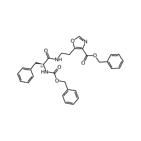 O=C(N[C@@H](Cc1ccccc1)C(=O)NCCc1ocnc1C(=O)OCc1ccccc1)OCc1ccccc1